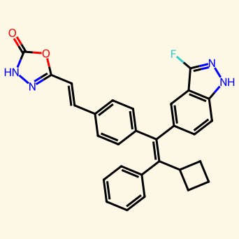 O=c1[nH]nc(/C=C/c2ccc(/C(=C(\c3ccccc3)C3CCC3)c3ccc4[nH]nc(F)c4c3)cc2)o1